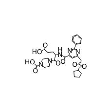 O=C(O)CCC(NC(=O)c1cc(CS(=O)(=O)C2CCCC2)nc(-c2ccccc2)n1)C(=O)N1CCN(C(=O)O)CC1